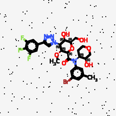 CO[C@@H]1[C@@H](n2cc(-c3cc(F)c(F)c(F)c3)nn2)[C@@H](O)[C@@H](CO)O[C@H]1C(=O)N(c1cc(C)cc(Br)c1)[C@@H]1CCOC[C@H]1O